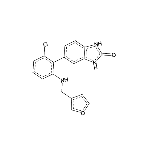 O=c1[nH]c2ccc(-c3c(Cl)cccc3NCc3ccoc3)cc2[nH]1